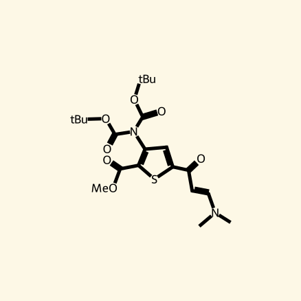 COC(=O)c1sc(C(=O)/C=C/N(C)C)cc1N(C(=O)OC(C)(C)C)C(=O)OC(C)(C)C